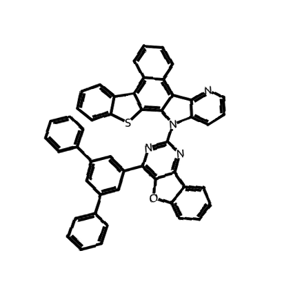 c1ccc(-c2cc(-c3ccccc3)cc(-c3nc(-n4c5cccnc5c5c6ccccc6c6c7ccccc7sc6c54)nc4c3oc3ccccc34)c2)cc1